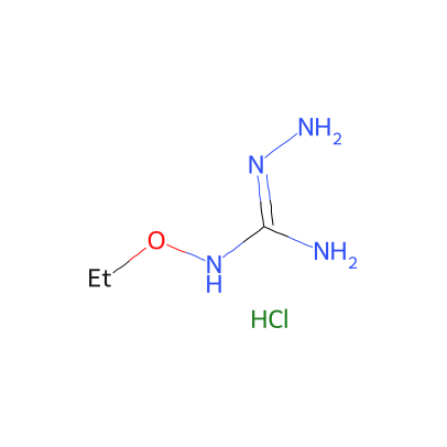 CCONC(N)=NN.Cl